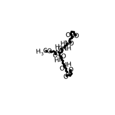 CCOCCC(=O)NC(CC(=O)NCCNC(=O)CCN1C(=O)CCC1=O)CC(=O)NCCNC(=O)CCN1C(=O)CCC1=O